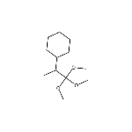 COC(OC)(OC)C(C)C1CCCCC1